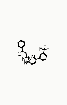 O=C(Cc1nnc2ccc(-c3cccc(C(F)(F)F)c3)nn12)c1ccccc1